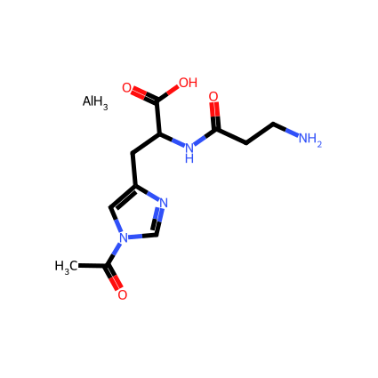 CC(=O)n1cnc(CC(NC(=O)CCN)C(=O)O)c1.[AlH3]